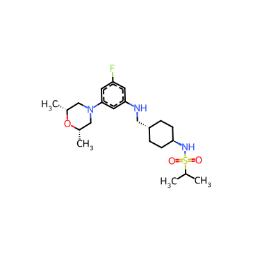 CC(C)S(=O)(=O)N[C@H]1CC[C@H](CNc2cc(F)cc(N3C[C@@H](C)O[C@@H](C)C3)c2)CC1